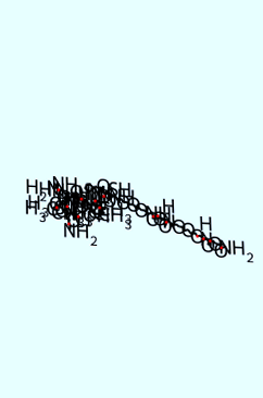 CC(C)(C)SC[C@H](NC(=O)[C@H](CCCCN)NC(=O)CCl)C(=O)N[C@@H](CCCNC(=N)N)C(=O)NCC(=O)N[C@@H](CC(=O)O)C(=O)N[C@@H](CSC(C)(C)C)C(=O)N[C@@H](Cc1ccccc1)C(=O)N[C@@H](CS)C(=O)NCCOCCOCCOCCNC(=O)COCC(=O)NCCOCCOCCOCCNC(=O)COCC(N)=O